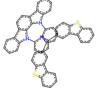 c1cc(-c2ccc3sc4ccccc4c3c2)cc(-n2c3ccccc3c3ccc4c5ccccc5n(-c5cccc(-c6ccc7sc8ccccc8c7c6)n5)c4c32)c1